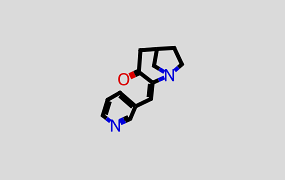 O=C1CC2CCN(C2)C1=Cc1cccnc1